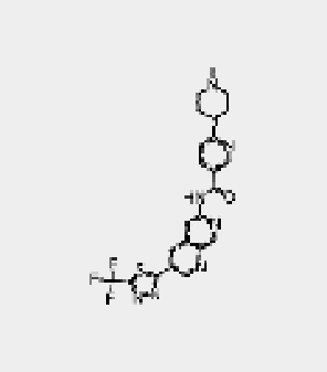 CN1CCN(c2ccc(C(=O)Nc3cc4cc(-c5nnc(C(F)(F)F)s5)cnc4cn3)cn2)CC1